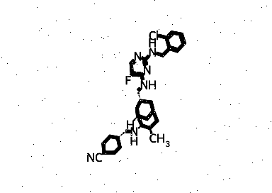 C[C@@H]1CC2C[C@@H](CNc3nc(NCc4ccccc4Cl)ncc3F)C[C@@H](C2)[C@H]1NC[C@H]1CC[C@@H](C#N)CC1